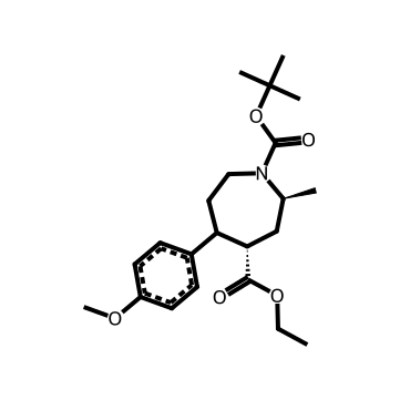 CCOC(=O)[C@H]1C[C@H](C)N(C(=O)OC(C)(C)C)CCC1c1ccc(OC)cc1